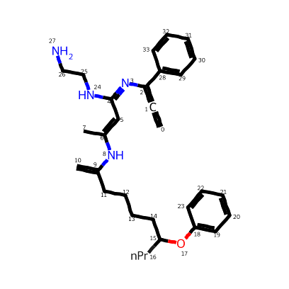 C=C=C(/N=C(\C=C(/C)NC(=C)CCCCC(CCC)Oc1ccccc1)NCCN)c1ccccc1